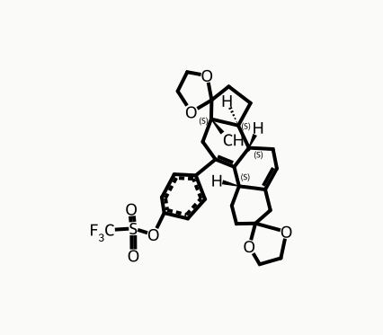 C[C@]12CC(c3ccc(OS(=O)(=O)C(F)(F)F)cc3)=C3[C@H]4CCC5(CC4=CC[C@H]3[C@@H]1CCC21OCCO1)OCCO5